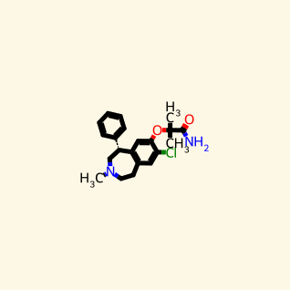 CN1CCc2cc(Cl)c(OC(C)(C)C(N)=O)cc2[C@@H](c2ccccc2)C1